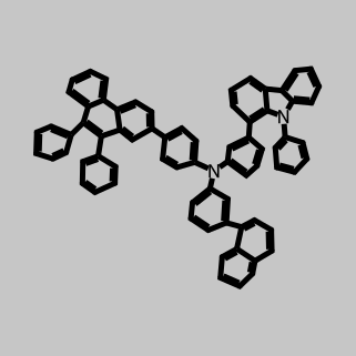 c1ccc(-c2c(-c3ccccc3)c3cc(-c4ccc(N(c5cccc(-c6cccc7ccccc67)c5)c5cccc(-c6cccc7c8ccccc8n(-c8ccccc8)c67)c5)cc4)ccc3c3ccccc23)cc1